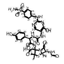 CC1(C)S[C@@H]2[C@H](NC=O)C(=O)N2[C@@]1(NC(=O)C(NC(=O)Nc1cnc(Nc2ccc(S(N)(=O)=O)cc2)nc1O)c1ccc(O)cc1)C(=O)O